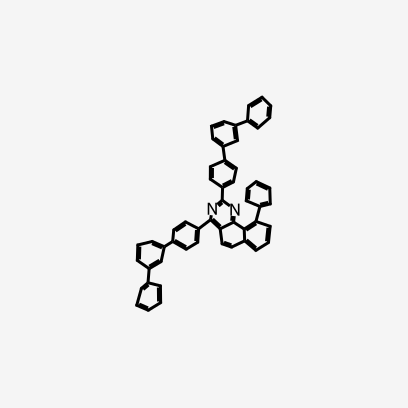 c1ccc(-c2cccc(-c3ccc(-c4nc(-c5ccc(-c6cccc(-c7ccccc7)c6)cc5)c5ccc6cccc(-c7ccccc7)c6c5n4)cc3)c2)cc1